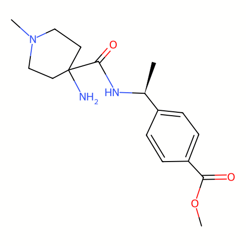 COC(=O)c1ccc([C@H](C)NC(=O)C2(N)CCN(C)CC2)cc1